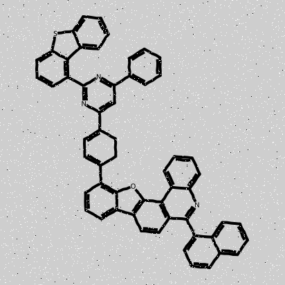 C1=C(c2cc(-c3ccccc3)nc(-c3cccc4sc5ccccc5c34)n2)CCC(c2cccc3c2oc2c3ccc3c(-c4cccc5ccccc45)nc4ccccc4c32)=C1